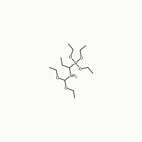 CCOC(OCC)[SiH2]C(CC)[Si](OCC)(OCC)OCC